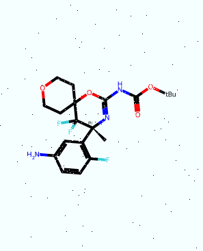 CC(C)(C)OC(=O)NC1=N[C@](C)(c2cc(N)ccc2F)C(F)(F)C2(CCOCC2)O1